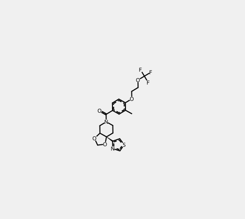 Cc1cc(C(=O)N2CC[C@]3(c4cscn4)OCOC3C2)ccc1OCCOC(F)(F)F